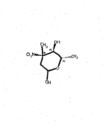 C[C@@H]1OC(O)C[C@@](C)([N+](=O)[O-])[C@H]1O